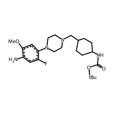 COc1cc(N2CCN(CC3CCC(NC(=O)OC(C)(C)C)CC3)CC2)c(F)cc1N